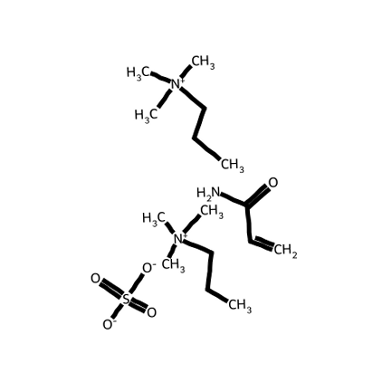 C=CC(N)=O.CCC[N+](C)(C)C.CCC[N+](C)(C)C.O=S(=O)([O-])[O-]